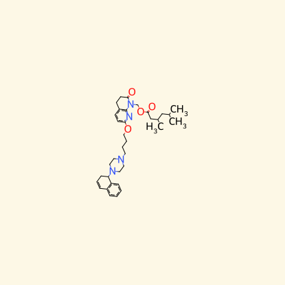 CC(C)CC(C)CC(=O)OCN1C(=O)CCc2ccc(OCCCCN3CCN(C4CC=Cc5ccccc54)CC3)nc21